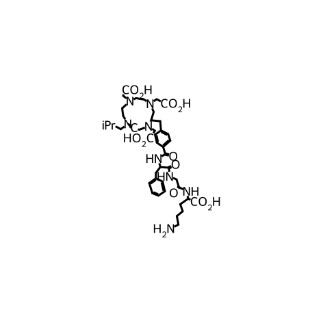 CC(C)CN1CCN(CC(=O)O)CCN(CC(=O)O)CC(Cc2ccc(C(=O)NC(Cc3ccccc3)C(=O)NCC(=O)NC(CCCCN)C(=O)O)cc2)N(CC(=O)O)CC1